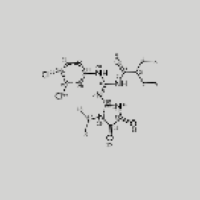 CCC(CC)C(=O)NC(=NC1=NC(=O)C(=O)N1C(C)C)Nc1ccc(Cl)c(Cl)c1